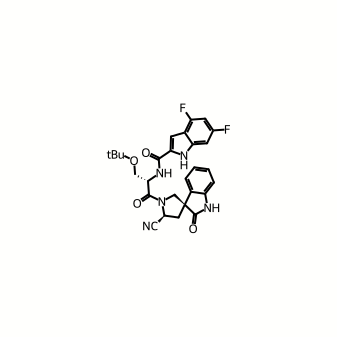 CC(C)(C)OC[C@H](NC(=O)c1cc2c(F)cc(F)cc2[nH]1)C(=O)N1C[C@]2(C[C@H]1C#N)C(=O)Nc1ccccc12